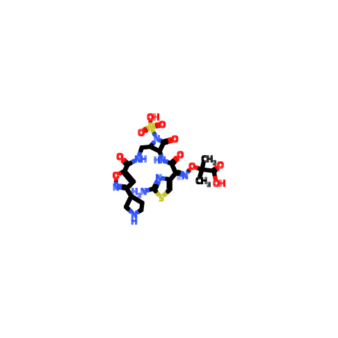 CC(C)(O/N=C(\C(=O)NC1C(=O)N(S(=O)(=O)O)C1CNC(=O)c1cc(C2CCNC2)no1)c1csc(N)n1)C(=O)O